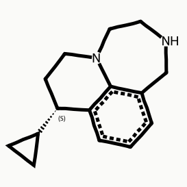 c1cc2c3c(c1)[C@H](C1CC1)CCN3CCNC2